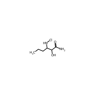 CCCC(NCl)C(O)C(N)=O